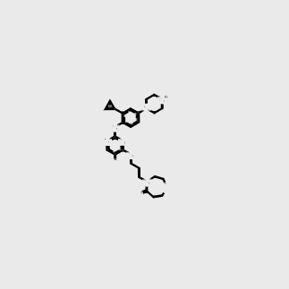 CN1CCN(c2ccc(Nc3ncc(Cl)c(NCCCN4CCOCCC4=O)n3)c(C3CC3)c2)CC1